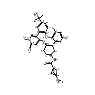 Cc1cc(F)cc(C)c1Oc1ccc(C(C)(C)O)cc1-c1cn(C)c(=O)cc1OC1CCC(NC(=O)C23CC(N)(C2)C3)CC1